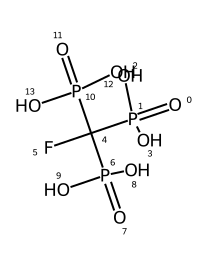 O=P(O)(O)C(F)(P(=O)(O)O)P(=O)(O)O